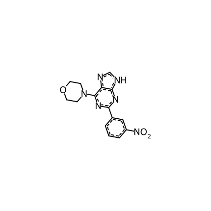 O=[N+]([O-])c1cccc(-c2nc(N3CCOCC3)c3nc[nH]c3n2)c1